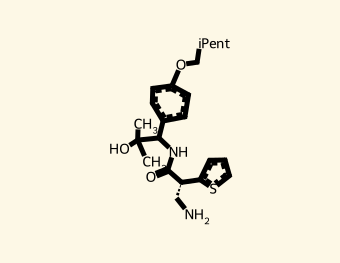 CCCC(C)COc1ccc(C(NC(=O)[C@@H](CN)c2cccs2)C(C)(C)O)cc1